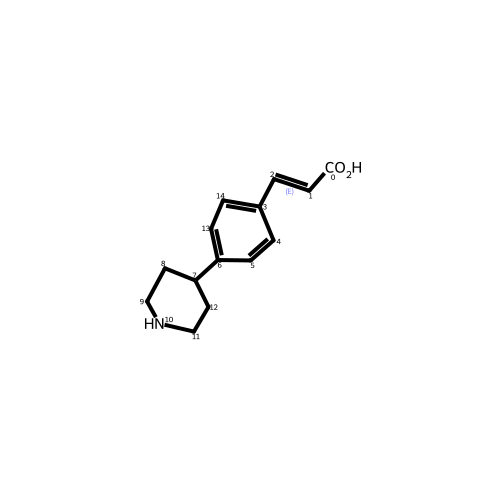 O=C(O)/C=C/c1ccc(C2CCNCC2)cc1